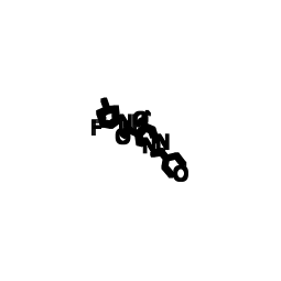 COc1cc2nc(C3CCOCC3)cn2cc1C(=O)Nc1cc(C)cc(F)c1